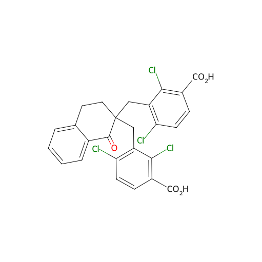 O=C(O)c1ccc(Cl)c(CC2(Cc3c(Cl)ccc(C(=O)O)c3Cl)CCc3ccccc3C2=O)c1Cl